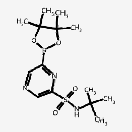 CC(C)(C)NS(=O)(=O)c1cncc(B2OC(C)(C)C(C)(C)O2)n1